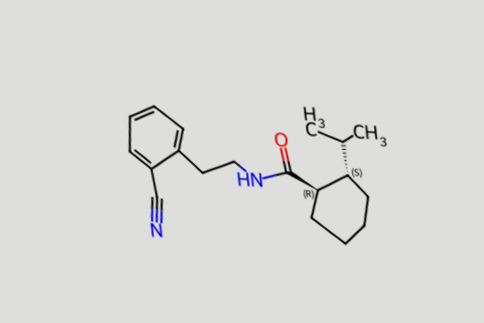 CC(C)[C@@H]1CCCC[C@H]1C(=O)NCCc1ccccc1C#N